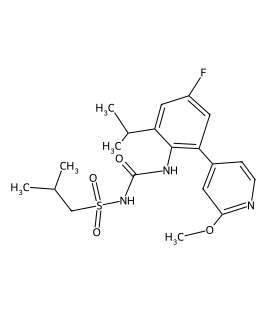 COc1cc(-c2cc(F)cc(C(C)C)c2NC(=O)NS(=O)(=O)CC(C)C)ccn1